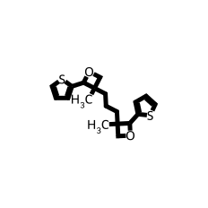 CC1(CCCC2(C)COC2c2cccs2)COC1c1cccs1